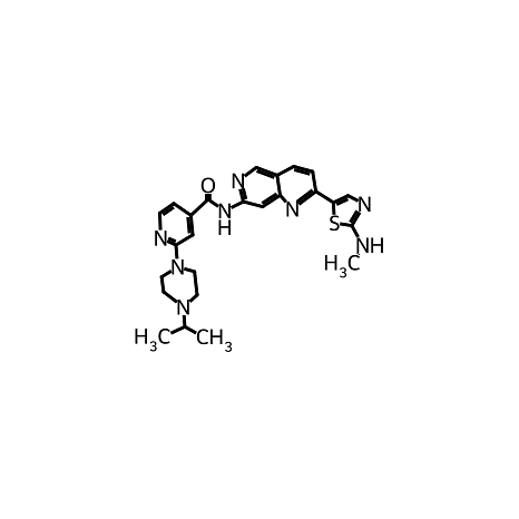 CNc1ncc(-c2ccc3cnc(NC(=O)c4ccnc(N5CCN(C(C)C)CC5)c4)cc3n2)s1